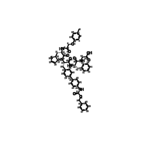 Cc1ccc(OCC(=O)N[C@@H](CC2CC=CS2)C(=O)N[C@@H](Cc2ccc(-c3ccc(NC(=O)OCc4ccccc4)cc3)cc2)C(=O)N[C@@H](Cc2ccccc2)C(=O)NCC(=O)O)cc1